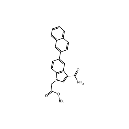 CC(C)(C)OC(=O)Cn1cc(C(N)=O)c2cc(-c3ccc4ccccc4c3)ccc21